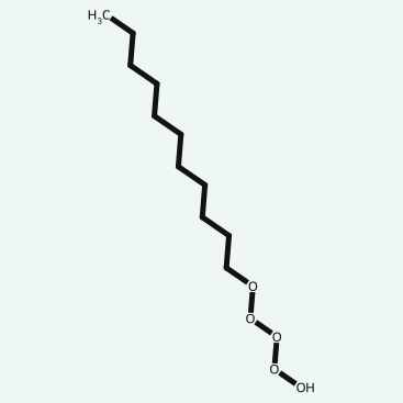 CCCCCCCCCCCOOOOO